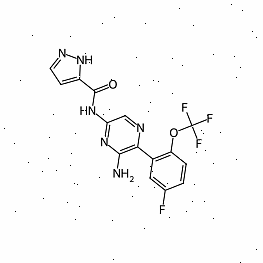 Nc1nc(NC(=O)c2ccn[nH]2)cnc1-c1cc(F)ccc1OC(F)(F)F